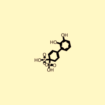 O=S(=O)(O)C1(S(=O)(=O)O)C=CC(c2cccc(O)c2O)=CC1